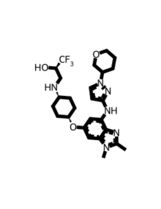 Cc1nc2c(Nc3ccn(C4CCCOC4)n3)cc(O[C@H]3CC[C@@H](NC[C@@H](O)C(F)(F)F)CC3)cc2n1C